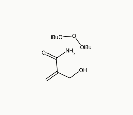 C=C(CO)C(N)=O.CC(C)COOOCC(C)C